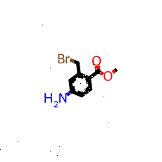 COC(=O)c1ccc(N)cc1CBr